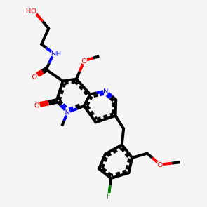 COCc1cc(F)ccc1Cc1cnc2c(OC)c(C(=O)NCCO)c(=O)n(C)c2c1